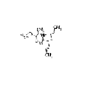 C=CCC(CCCC)C(=O)NC(C)C(=O)OC